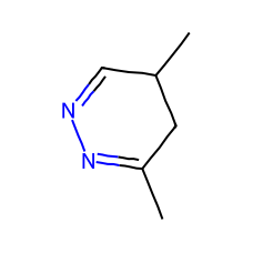 CC1=NN=CC(C)C1